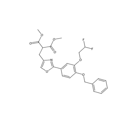 COC(=O)C(Cc1coc(-c2ccc(OCc3ccccc3)c(OCC(F)F)c2)n1)C(=O)OC